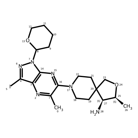 Cc1nc2c(I)nn(C3CCCCO3)c2nc1N1CCC2(CC1)CO[C@@H](C)[C@H]2N